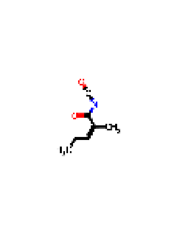 CCC=C(C)C(=O)N=C=O